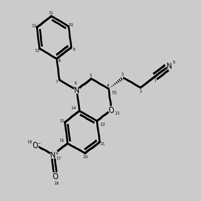 N#CCC[C@H]1CN(Cc2ccccc2)c2cc([N+](=O)[O-])ccc2O1